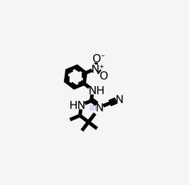 CC(N/C(=N/C#N)Nc1ccccc1[N+](=O)[O-])C(C)(C)C